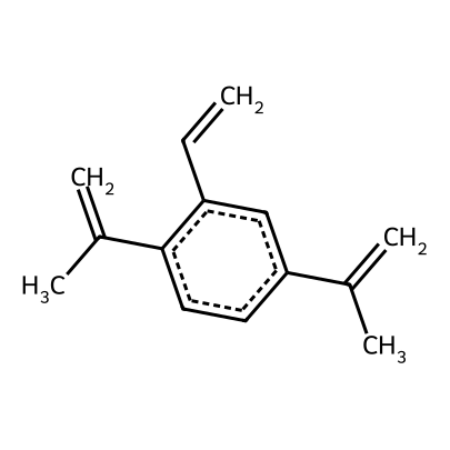 C=Cc1cc(C(=C)C)ccc1C(=C)C